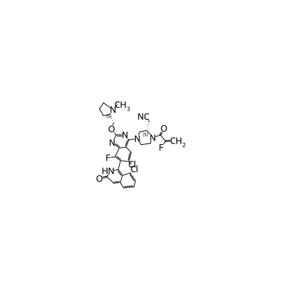 C=C(F)C(=O)N1CCN(c2nc(OC[C@@H]3CCCN3C)nc3c(F)c(-c4[nH]c(=O)cc5cccc(Cl)c45)c(Cl)cc23)C[C@@H]1CC#N